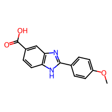 COc1ccc(-c2nc3cc(C(=O)O)ccc3[nH]2)cc1